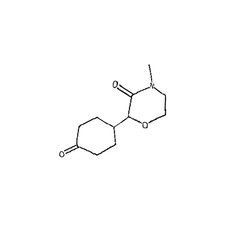 CN1CCOC(C2CCC(=O)CC2)C1=O